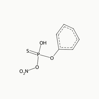 O=[N+]([O-])OP(O)(=S)Oc1ccccc1